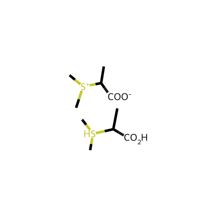 CC(C(=O)O)[SH](C)C.CC(C(=O)[O-])[S+](C)C